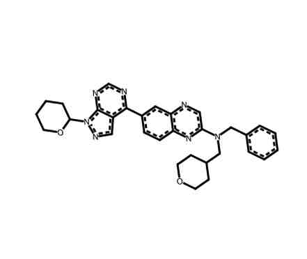 c1ccc(CN(CC2CCOCC2)c2cnc3cc(-c4ncnc5c4cnn5C4CCCCO4)ccc3n2)cc1